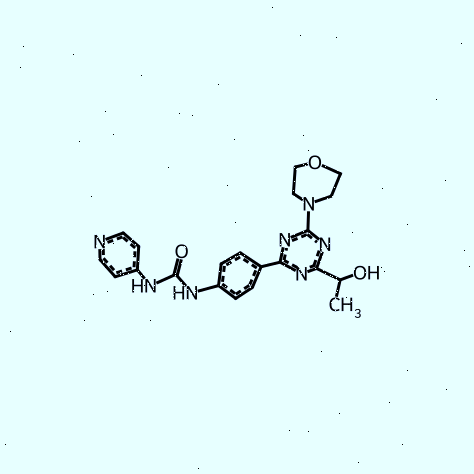 CC(O)c1nc(-c2ccc(NC(=O)Nc3ccncc3)cc2)nc(N2CCOCC2)n1